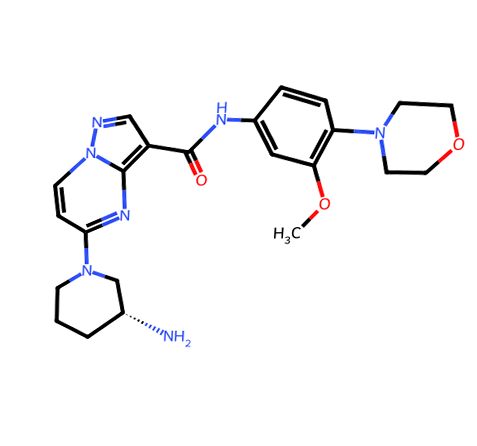 COc1cc(NC(=O)c2cnn3ccc(N4CCC[C@@H](N)C4)nc23)ccc1N1CCOCC1